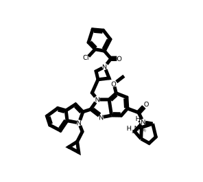 COc1cc(C(=O)N2CC3CCC2[C@@H]3N)cc2nc(-c3cc4ccccc4n3CC3CC3)n(CC3CN(C(=O)c4ccccc4Cl)C3)c12